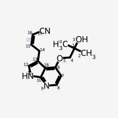 CC(C)(O)COc1ccnc2[nH]cc(C/C=C\C#N)c12